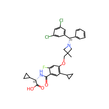 CC1(COc2cc(F)c(C(=O)N[C@H](C(=O)O)C3CC3)cc2C2CC2)CN([C@@H](c2ccccc2)c2cc(Cl)cc(Cl)c2)C1